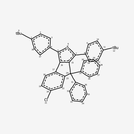 CC(C)(C)c1ccc(-c2sc(-c3ccc(C(C)(C)C)cc3)c3c2-c2ccc(Cl)cc2C3(c2ccccc2)c2ccccc2)cc1